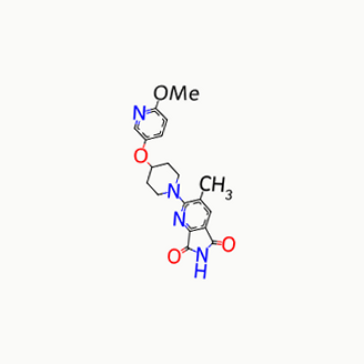 COc1ccc(OC2CCN(c3nc4c(cc3C)C(=O)NC4=O)CC2)cn1